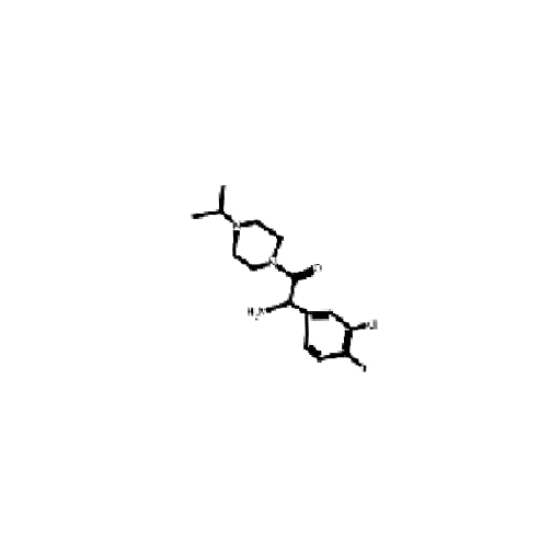 CC(C)N1CCN(C(=O)C(N)c2ccc(F)c(Cl)c2)CC1